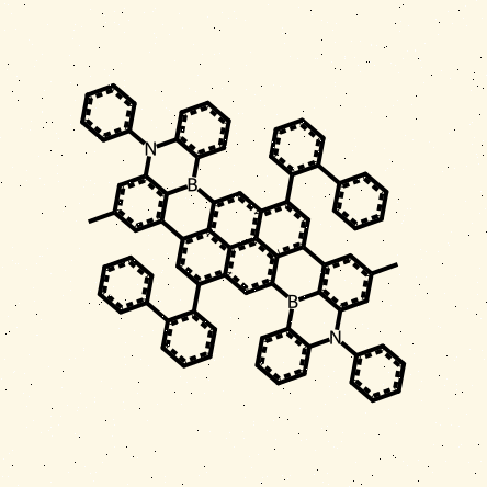 Cc1cc2c3c(c1)N(c1ccccc1)c1ccccc1B3c1cc3c(-c4ccccc4-c4ccccc4)cc4c5c(cc6c(-c7ccccc7-c7ccccc7)cc-2c1c6c35)B1c2ccccc2N(c2ccccc2)c2cc(C)cc-4c21